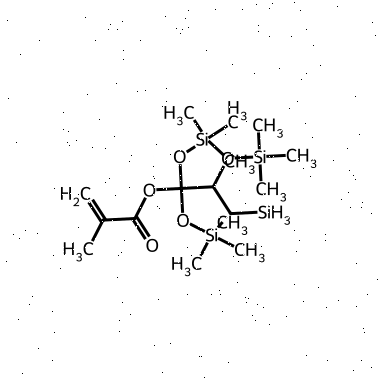 C=C(C)C(=O)OC(O[Si](C)(C)C)(O[Si](C)(C)C)C(C[SiH3])O[Si](C)(C)C